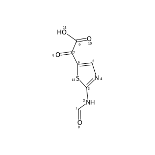 O=CNc1ncc(C(=O)C(=O)O)s1